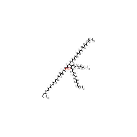 CCCCCCCCCCCCCCCCCCCCCCC(CCCCCCCCCCCCCCCCC)C(CCCCCCC)C(O)CCCCCCCCCCC